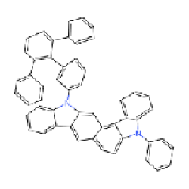 c1ccc(-c2cccc(-c3ccccc3)c2-c2cccc(-n3c4ccccc4c4cc5ccc6c(c5cc43)c3ccccc3n6-c3ccccc3)c2)cc1